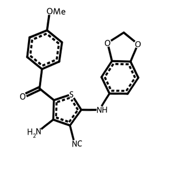 [C-]#[N+]c1c(Nc2ccc3c(c2)OCO3)sc(C(=O)c2ccc(OC)cc2)c1N